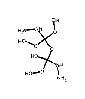 NNC(O)(OO)OC(NN)(OO)OO